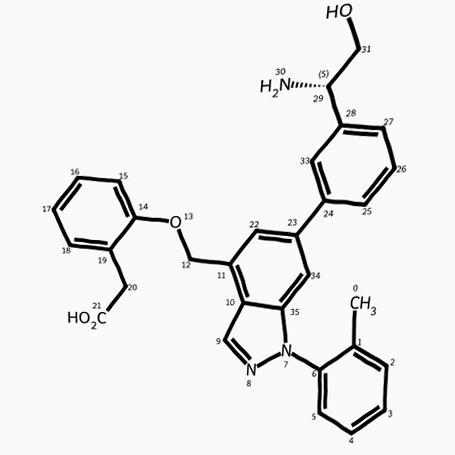 Cc1ccccc1-n1ncc2c(COc3ccccc3CC(=O)O)cc(-c3cccc([C@H](N)CO)c3)cc21